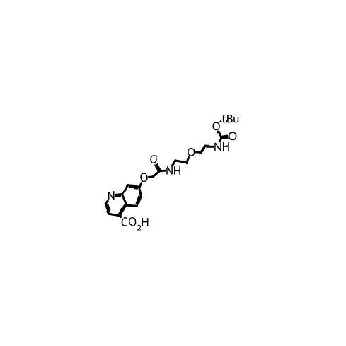 CC(C)(C)OC(=O)NCCOCCNC(=O)COc1ccc2c(C(=O)O)ccnc2c1